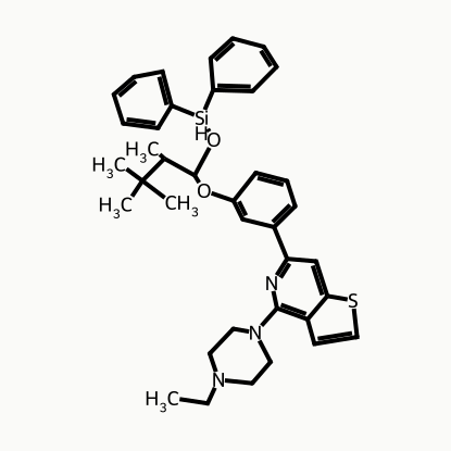 CCN1CCN(c2nc(-c3cccc(OC(O[SiH](c4ccccc4)c4ccccc4)C(C)C(C)(C)C)c3)cc3sccc23)CC1